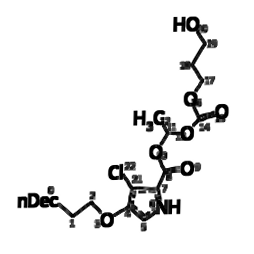 CCCCCCCCCCCCOc1c[nH]c(C(=O)OC(C)OC(=O)OCCCO)c1Cl